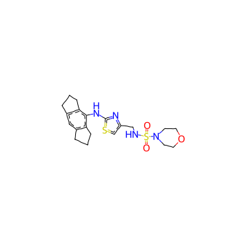 O=S(=O)(NCc1csc(Nc2c3c(cc4c2CCC4)CCC3)n1)N1CCOCC1